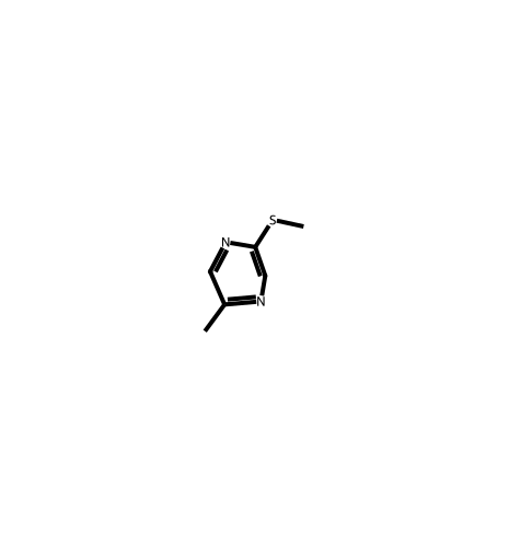 CSc1cnc(C)cn1